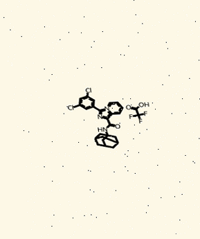 O=C(NC12CC3CC(CC(C3)C1)C2)c1nc(-c2cc(Cl)cc(Cl)c2)n2ccccc12.O=C(O)C(F)(F)F